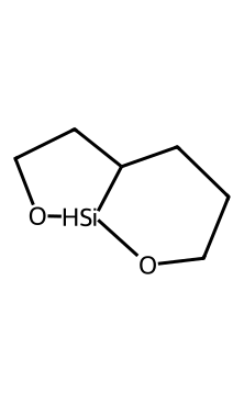 C1CO[SiH]2OCCC2C1